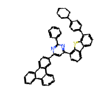 c1ccc(-c2nc(-c3ccc4c5ccccc5c5ccccc5c4c3)cc(-c3cccc4c3sc3c(-c5ccc(C6CCCCC6)cc5)cccc34)n2)cc1